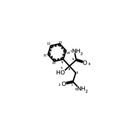 NC(=O)CC(O)(C(N)=O)c1ccccc1